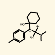 [2H]C([2H])([C@@H](c1ccc(C)cc1)C1(O)CCCCC1)N(C)C